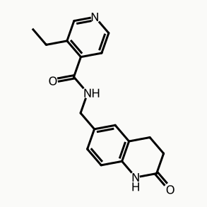 CCc1cnccc1C(=O)NCc1ccc2c(c1)CCC(=O)N2